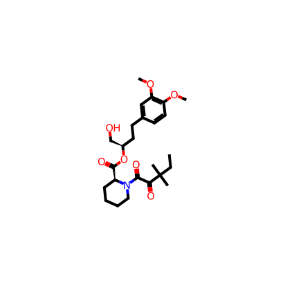 CCC(C)(C)C(=O)C(=O)N1CCCC[C@H]1C(=O)O[C@@H](CO)CCc1ccc(OC)c(OC)c1